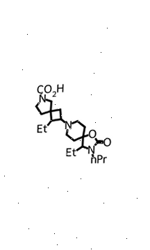 CCCN1C(=O)OC2(CCN(C3CC4(CCN(C(=O)O)C4)C3CC)CC2)C1CC